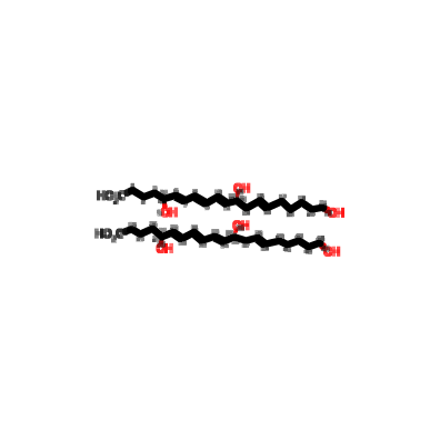 O=C(O)CCC[C@H](O)C=CC=CC=C[C@H](O)CC=CCCCCCO.O=C(O)CCC[C@H](O)C=CC=CC=C[C@H](O)CC=CCCCCCO